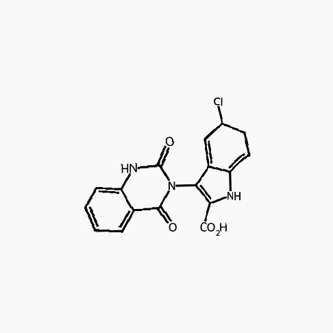 O=C(O)c1[nH]c2c(c1-n1c(=O)[nH]c3ccccc3c1=O)=CC(Cl)CC=2